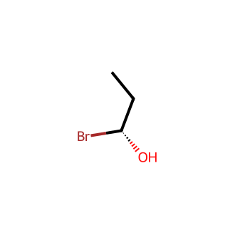 CC[C@H](O)Br